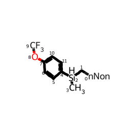 CCCCCCCCCC[SiH](C)c1ccc(OC(F)(F)F)cc1